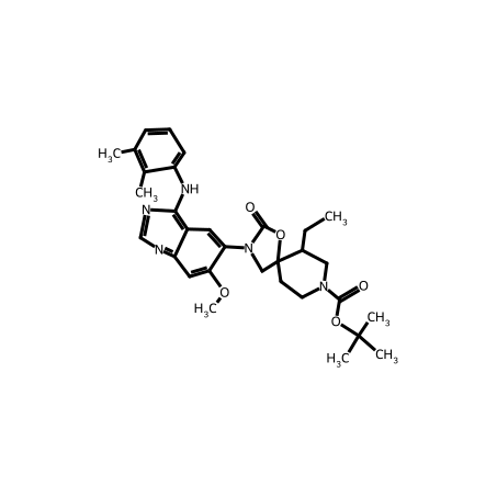 CCC1CN(C(=O)OC(C)(C)C)CCC12CN(c1cc3c(Nc4cccc(C)c4C)ncnc3cc1OC)C(=O)O2